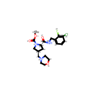 CC(C)(C)OC(=O)N1C[C@H](CN2CCOCC2)C[C@H]1C(=O)NCc1cccc(Cl)c1F